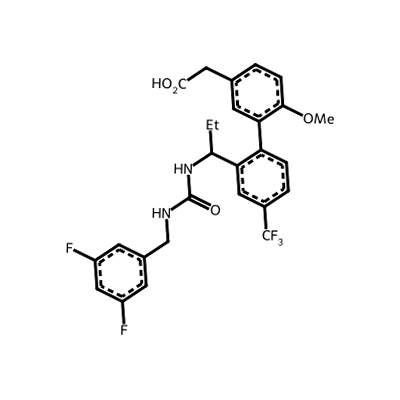 CCC(NC(=O)NCc1cc(F)cc(F)c1)c1cc(C(F)(F)F)ccc1-c1cc(CC(=O)O)ccc1OC